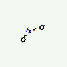 O=C(CSc1ccc(Br)cc1)Nc1cn(CCc2ccccc2)nc1C(=O)O